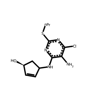 CCCSc1nc(Cl)c(N)c(NC2C=C[C@@H](O)C2)n1